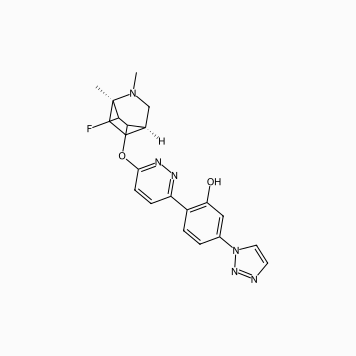 CN1C[C@H]2CC[C@]1(C)C(F)C2Oc1ccc(-c2ccc(-n3ccnn3)cc2O)nn1